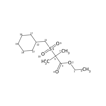 CCOC(=O)C(C)(C)S(=O)(=O)CC1CCCCC1